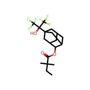 CCC(C)(C)C(=O)OC1C2CC3CC1CC(C(O)(C(F)(F)F)C(F)(F)F)(C3)C2